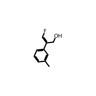 Cc1cccc(C(=CF)CO)c1